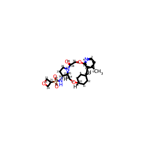 Cc1ccnc2c1[C@H]1CC[C@H](CC1)OC[C@H]1[C@@H](NS(=O)(=O)C3COC3)CCN1C(=O)CO2